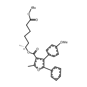 COc1ccc(-c2c(-c3ccccc3)oc(C)c2C(=O)O[C@H](C)CCCCC(=O)OC(C)(C)C)cc1